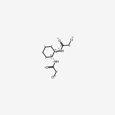 O=C(CCl)N[C@@H]1CCCC[C@H]1NC(=O)CCl